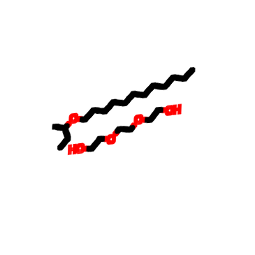 CCCCCCCCCCCCOC(C)CC.OCCOCCOCCO